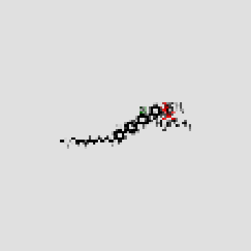 CCCCCCCCCCc1ccc(-c2ccc(-c3ccc(-c4ccc(OC(C)C(=O)OC(C)C)cc4)c(Cl)c3)cc2)cc1